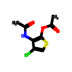 CC(=O)Nc1c(Cl)csc1OC(C)=O